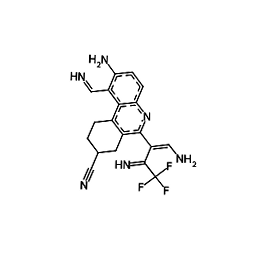 N#CC1CCc2c(c(/C(=C/N)C(=N)C(F)(F)F)nc3ccc(N)c(C=N)c23)C1